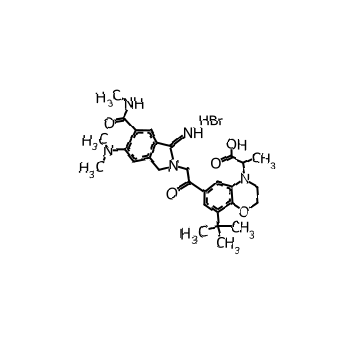 Br.CNC(=O)c1cc2c(cc1N(C)C)CN(CC(=O)c1cc3c(c(C(C)(C)C)c1)OCCN3C(C)C(=O)O)C2=N